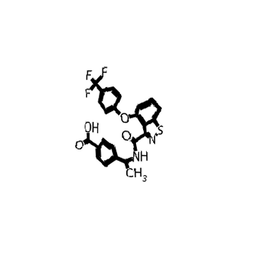 CC(NC(=O)c1nsc2cccc(Oc3ccc(C(F)(F)F)cc3)c12)c1ccc(C(=O)O)cc1